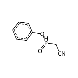 N#CC[PH](=O)Oc1ccccc1